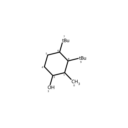 CC1C(O)CCC(C(C)(C)C)C1C(C)(C)C